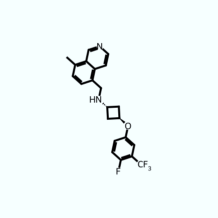 Cc1ccc(CN[C@H]2C[C@H](Oc3ccc(F)c(C(F)(F)F)c3)C2)c2ccncc12